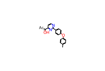 CC(=O)[C@H](O)c1ccnc(-c2ccc(Oc3ccc(C)cc3)cc2)n1